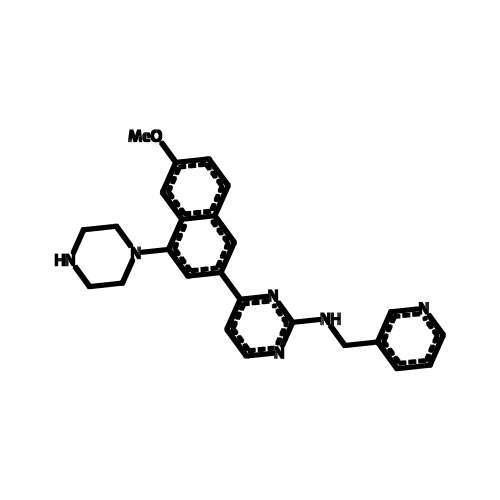 COc1ccc2cc(-c3ccnc(NCc4cccnc4)n3)cc(N3CCNCC3)c2c1